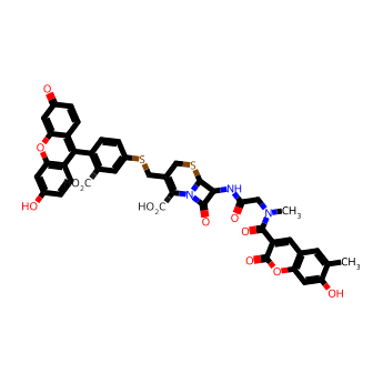 Cc1cc2cc(C(=O)N(C)CC(=O)NC3C(=O)N4C(C(=O)O)=C(CSc5ccc(-c6c7ccc(=O)cc-7oc7cc(O)ccc67)c(C(=O)O)c5)CSC34)c(=O)oc2cc1O